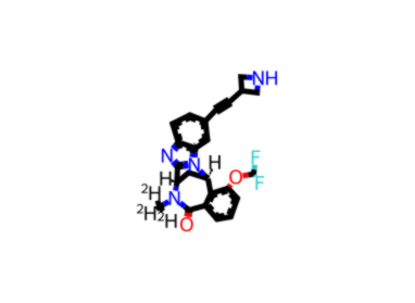 [2H]C([2H])([2H])N1C(=O)c2cccc(OC(F)F)c2[C@H]2C[C@@H]1c1nc3ccc(C#CC4CNC4)cc3n12